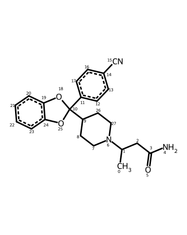 CC(CC(N)=O)N1CCC(C2(c3ccc(C#N)cc3)Oc3ccccc3O2)CC1